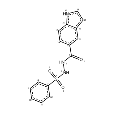 O=C(NNS(=O)(=O)c1ccccc1)c1ccc2[nH]ccc2c1